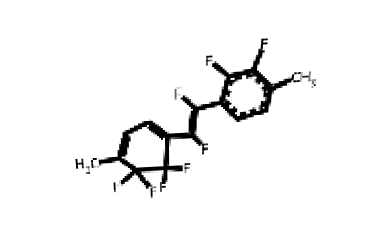 CC1=CC=C(/C(F)=C(\F)c2ccc(C)c(F)c2F)C(F)(F)C1(F)F